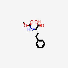 COC(=O)N[C@@H](CCc1ccccc1)C(=O)O